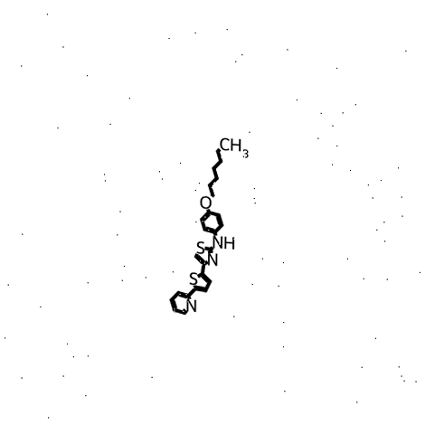 CCCCCCCOc1ccc(Nc2nc(-c3ccc(-c4ccccn4)s3)cs2)cc1